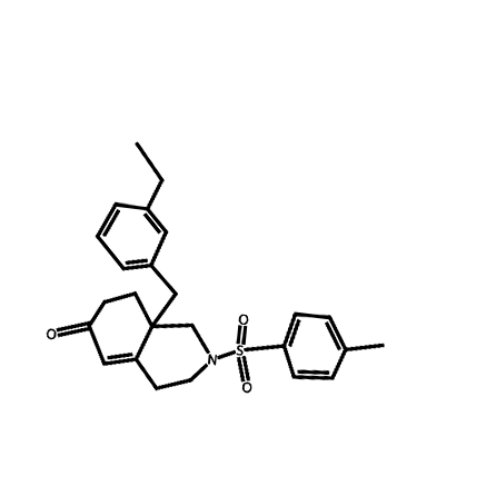 CCc1cccc(CC23CCC(=O)C=C2CCN(S(=O)(=O)c2ccc(C)cc2)C3)c1